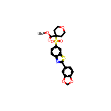 CC(C)(C)OC(=O)C1(S(=O)(=O)c2ccc3nc(-c4ccc5c(c4)OCO5)sc3c2)CCOCC1